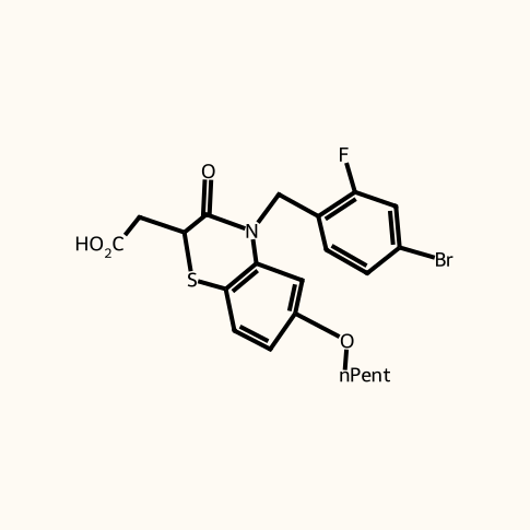 CCCCCOc1ccc2c(c1)N(Cc1ccc(Br)cc1F)C(=O)C(CC(=O)O)S2